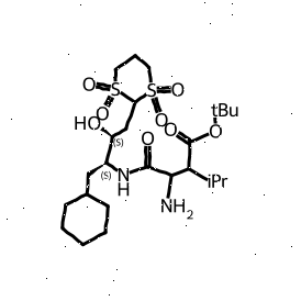 CC(C)C(C(=O)OC(C)(C)C)C(N)C(=O)N[C@@H](CC1CCCCC1)[C@@H](O)CC1S(=O)(=O)CCCS1(=O)=O